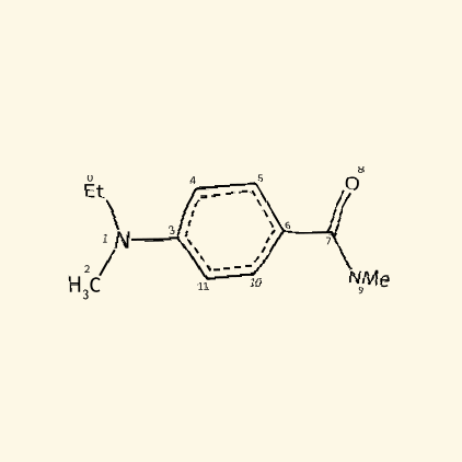 CCN(C)c1ccc(C(=O)NC)cc1